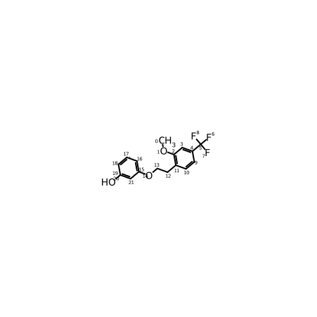 COc1cc(C(F)(F)F)ccc1CCOc1c[c]cc(O)c1